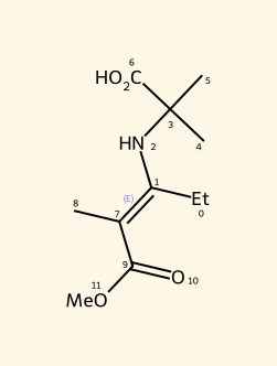 CC/C(NC(C)(C)C(=O)O)=C(/C)C(=O)OC